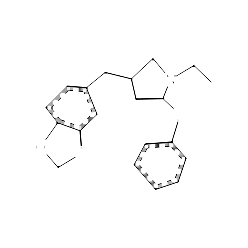 CCN1CC(Cc2ccc3c(c2)OCO3)CC1Oc1ccccc1